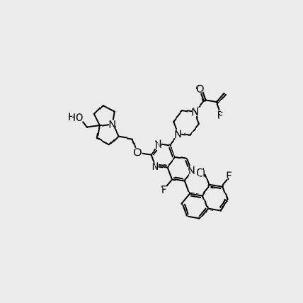 C=C(F)C(=O)N1CCN(c2nc(OCC3CCC4(CO)CCCN34)nc3c(F)c(-c4cccc5ccc(F)c(Cl)c45)ncc23)CC1